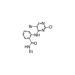 CCNC(=O)c1ccccc1Nc1nc(Cl)ncc1Br